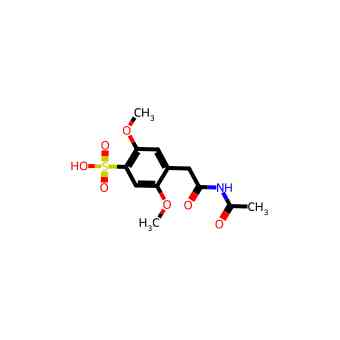 COc1cc(S(=O)(=O)O)c(OC)cc1CC(=O)NC(C)=O